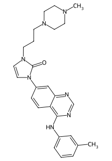 Cc1cccc(Nc2ncnc3cc(-n4ccn(CCCN5CCN(C)CC5)c4=O)ccc23)c1